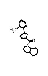 Cc1ccccc1-c1nc(C(=O)N2CCCC3CCCCC32)cs1